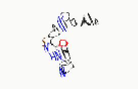 CO[C@@H]1CCN(c2ccc3snc(C(=O)N[C@H]4CN5CCC4CC5)c3c2)C1